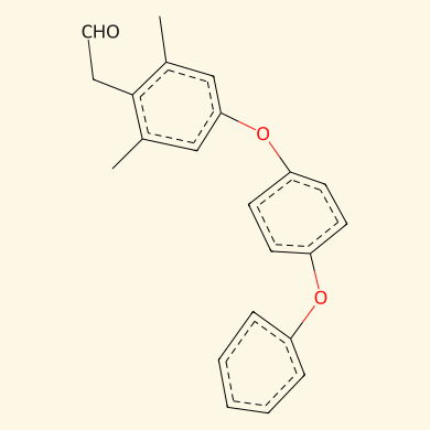 Cc1cc(Oc2ccc(Oc3ccccc3)cc2)cc(C)c1CC=O